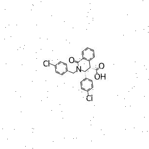 O=C(O)[C@H]1c2ccccc2C(=O)N(Cc2ccc(Cl)cc2)[C@H]1c1ccc(Cl)cc1